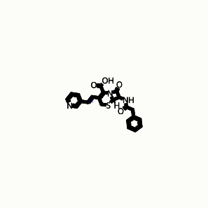 O=C(Cc1ccccc1)NC1C(=O)N2C(C(=O)O)=C(/C=C/c3cccnc3)CS[C@H]12